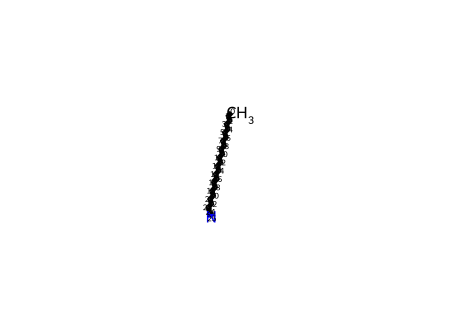 CCCCCCCCCCCCCCCC/C=C/CCCCCCC#N